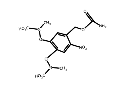 CN(Oc1cc(COC(N)=O)c([N+](=O)[O-])cc1ON(C)C(=O)O)C(=O)O